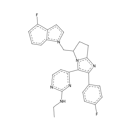 CCNc1nccc(-c2c(-c3ccc(F)cc3)nc3n2C(Cn2ccc4c(F)cccc42)CC3)n1